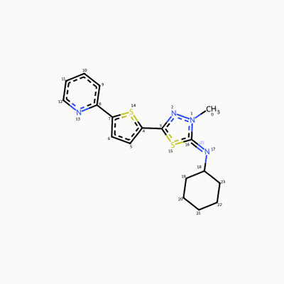 Cn1nc(-c2ccc(-c3ccccn3)s2)s/c1=N\C1CCCCC1